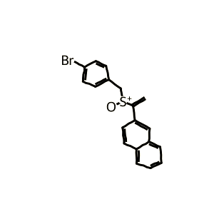 C=C(c1ccc2ccccc2c1)[S+]([O-])Cc1ccc(Br)cc1